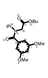 COc1cc(OC)cc(C(=O)N(CC(=O)OCC(C)C)C(C)C)c1